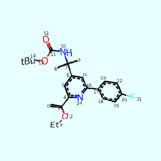 C=C(OCC)c1cc(C(C)(C)NC(=O)OC(C)(C)C)cc(-c2ccc(F)cc2)n1